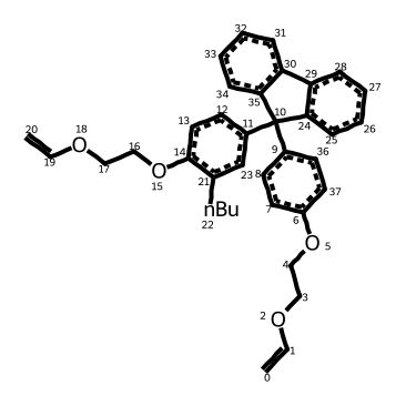 C=COCCOc1ccc(C2(c3ccc(OCCOC=C)c(CCCC)c3)c3ccccc3-c3ccccc32)cc1